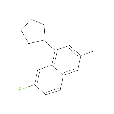 Cc1cc(C2CCCC2)c2cc(F)ccc2c1